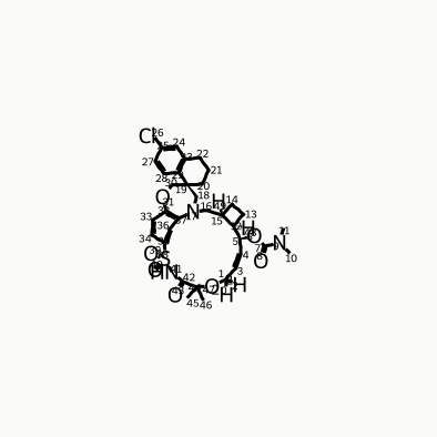 [2H]C1([2H])C=C[C@H](OC(=O)N(C)C)[C@@H]2CC[C@H]2CN2C[C@@]3(CCCc4cc(Cl)ccc43)COc3ccc(cc32)S(=O)(=O)NC(=O)C(C)(C)O1